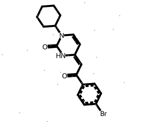 O=C(/C=C1/C=CN(C2CCCCC2)C(=O)N1)c1ccc(Br)cc1